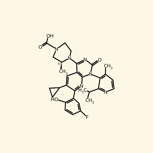 Cc1ccnc(C(C)C)c1-n1c(=O)nc(N2CCN(C(=O)O)C[C@@H]2C)c2cc(C3CC3)c(-c3cc(F)ccc3O)nc21